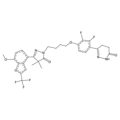 COc1ccc(C2=NN(CCCCOc3ccc(C4=NNC(=O)CC4)c(F)c3F)C(=O)C2(C)C)c2cc(C(F)(F)F)oc12